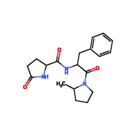 CC1CCCN1C(=O)C(Cc1ccccc1)NC(=O)C1CCC(=O)N1